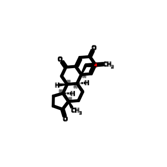 C=C=C[C@]12C=CC(=O)C=C1C(=O)C[C@@H]1[C@@H]2CC[C@]2(C)C(=O)CC[C@@H]12